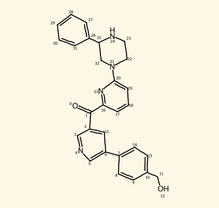 O=C(c1cncc(-c2ccc(CO)cc2)c1)c1cccc(N2CCNC(c3ccccc3)C2)n1